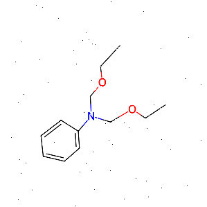 CCOCN(COCC)c1ccccc1